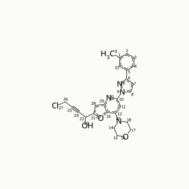 Cc1cccc(-c2ccn(-c3cc(N4CCOCC4)c4oc(C(O)C#CCCl)cc4n3)n2)c1